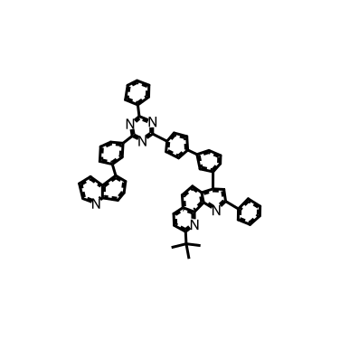 CC(C)(C)c1ccc2ccc3c(-c4cccc(-c5ccc(-c6nc(-c7ccccc7)nc(-c7cccc(-c8cccc9ncccc89)c7)n6)cc5)c4)cc(-c4ccccc4)nc3c2n1